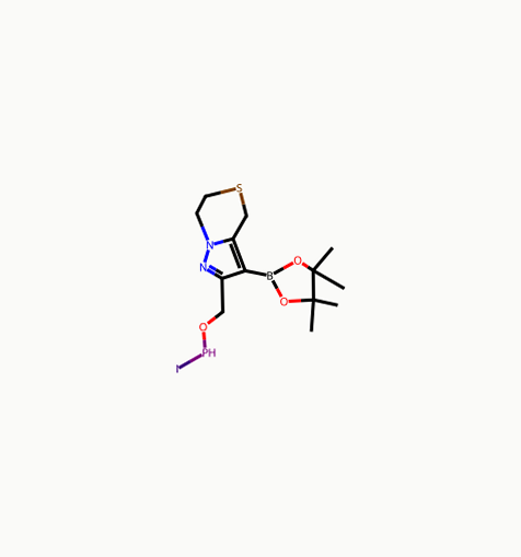 CC1(C)OB(c2c(COPI)nn3c2CSCC3)OC1(C)C